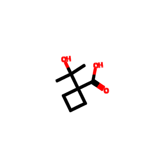 CC(C)(O)C1(C(=O)O)CCC1